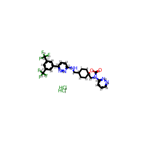 Cl.Cl.O=C1OC2(CCC(CNc3ccc(-c4cc(C(F)(F)F)cc(C(F)(F)F)c4)nn3)CC2)CN1c1cccnn1